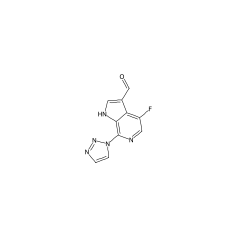 O=Cc1c[nH]c2c(-n3ccnn3)ncc(F)c12